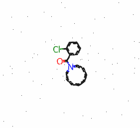 O=C(c1ccccc1Cl)n1cccccccc1